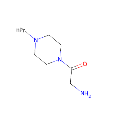 CCCN1CCN(C(=O)CN)CC1